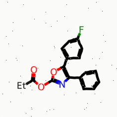 CCC(=O)Oc1nc(-c2ccccc2)c(-c2ccc(F)cc2)o1